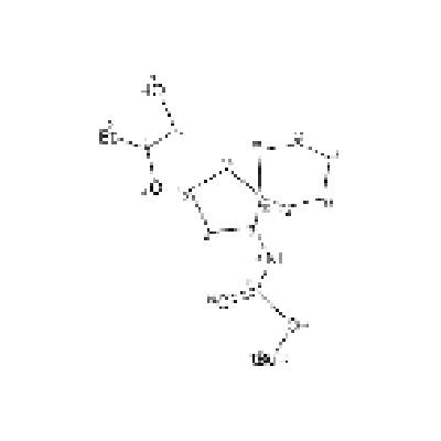 CCC(CO)O[C@H]1C[C@@H](NC(=O)OC(C)(C)C)C2(CCCCC2)C1